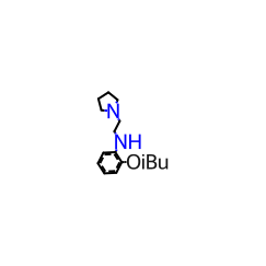 CC(C)COc1ccccc1NCCN1CCCC1